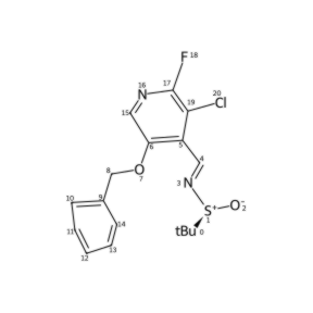 CC(C)(C)[S@+]([O-])N=Cc1c(OCc2ccccc2)cnc(F)c1Cl